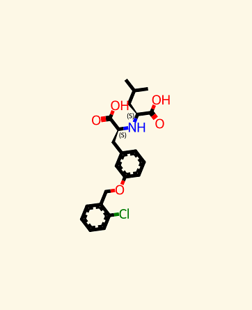 CC(C)C[C@H](N[C@@H](Cc1cccc(OCc2ccccc2Cl)c1)C(=O)O)C(=O)O